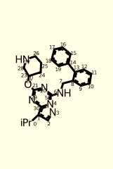 CC(C)c1cnn2c(NCc3ccccc3-c3ccccc3)nc(O[C@@H]3CCCNC3)nc12